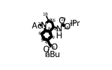 CCCCOC(=O)c1ccc2c(c1)[C@H](NC(=O)OC(C)C)C[C@H](C)N2C(C)=O